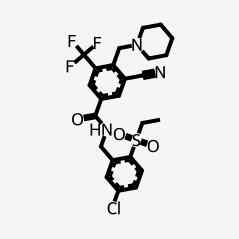 CCS(=O)(=O)c1ccc(Cl)cc1CNC(=O)c1cc(C#N)c(CN2CCCCC2)c(C(F)(F)F)c1